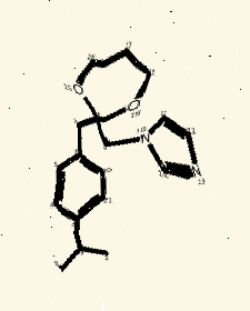 CC(C)c1ccc(CC2(Cn3ccnc3)OCCCO2)cc1